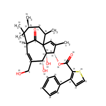 CC1=CC23C(=O)[C@@H](C=C(CO)[C@@H](O)[C@]2(O)[C@H]1OC(=O)c1sccc1-c1ccccc1)C(C)(C)[C@@H](C)CC3C